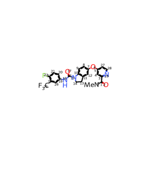 CNC(=O)c1cc(Oc2ccc3c(c2)CCN3C(=O)Nc2ccc(F)c(C(F)(F)F)c2)ccn1